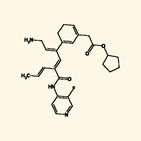 CC=C/C(=C\C(=C\CN)C1=CC(CC(=O)OC2CCCC2)=CCC1)C(=O)Nc1ccncc1F